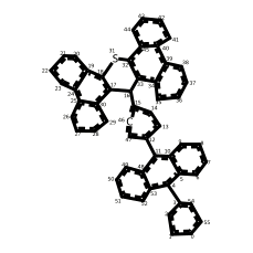 c1ccc(-c2c3ccccc3c(-c3ccc(C4c5c(c6ccccc6c6ccccc56)Sc5c4c4ccccc4c4ccccc54)cc3)c3ccccc23)cc1